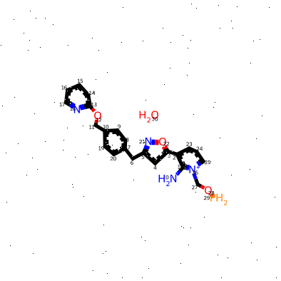 Nc1c(-c2cc(Cc3ccc(COc4ccccn4)cc3)no2)ccc[n+]1COP.O